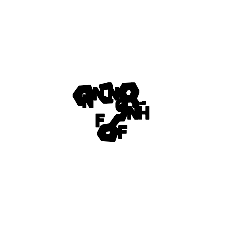 C[C@H](NC(=O)C=Cc1c(F)cccc1F)c1cccc(N2CCN(c3ccccn3)CC2)c1